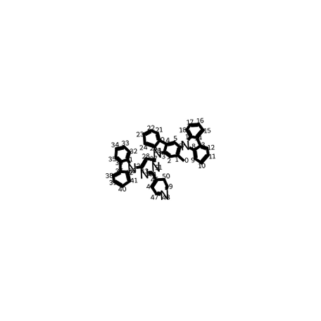 Cc1cc2c(cc1-n1c3ccccc3c3ccccc31)c1ccccc1n2-c1cc(-n2c3ccccc3c3ccccc32)nc(C2=CC=NCC2)n1